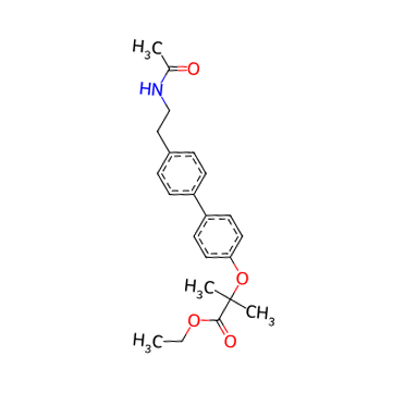 CCOC(=O)C(C)(C)Oc1ccc(-c2ccc(CCNC(C)=O)cc2)cc1